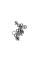 Cn1nccc1C(=O)NC(C(=O)Nc1ncc2c(n1)N(COCC[Si](C)(C)C)C(=O)C21CCOCC1)C1CCCCCCC1